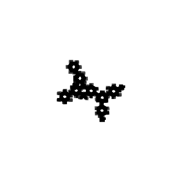 CC1(C)c2cc(-c3nc(-c4ccc(Br)cc4)nc(-c4ccc(Br)cc4)n3)ccc2-n2c3ccc(-c4ccccc4)nc3c3nc(-c4ccccc4)cc1c32